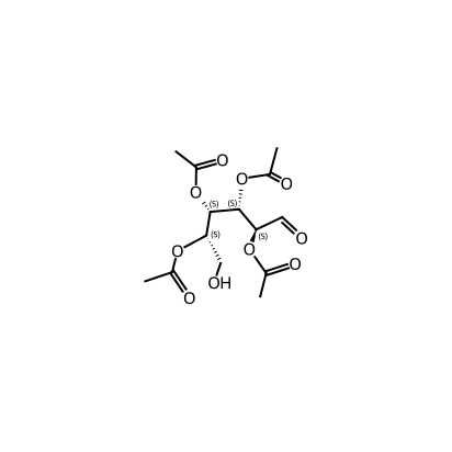 CC(=O)O[C@H]([C@H](OC(C)=O)[C@@H](C=O)OC(C)=O)[C@H](CO)OC(C)=O